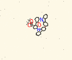 CC1(C)OB(c2ccc(-n3c4ccccc4c4ccccc43)c3oc4c(-n5c6ccccc6c6ccccc65)cccc4c23)OC1(C)C